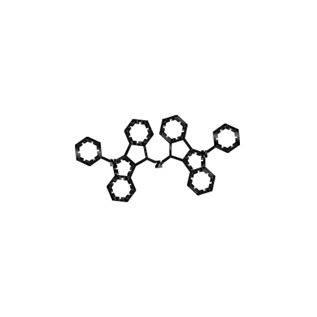 c1ccc(-n2c3c(c4ccccc42)[CH]([Zr][CH]2c4ccccc4-c4c2c2ccccc2n4-c2ccccc2)c2ccccc2-3)cc1